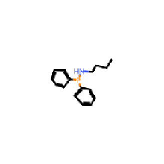 CCCCNP(c1ccccc1)c1ccccc1